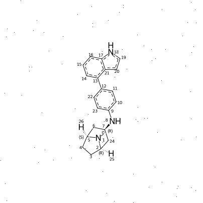 CN1[C@@H]2CC[C@H]1C[C@@H](Nc1ccc(-c3cccc4[nH]ccc34)cc1)C2